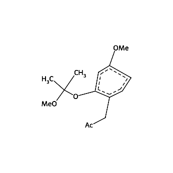 COc1ccc(CC(C)=O)c(OC(C)(C)OC)c1